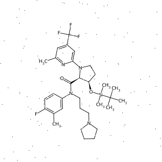 Cc1cc(C(F)(F)F)cc(N2CC[C@@H](O[Si](C)(C)C(C)(C)C)[C@H]2C(=O)N(CCCN2CCCC2)c2ccc(F)c(C)c2)n1